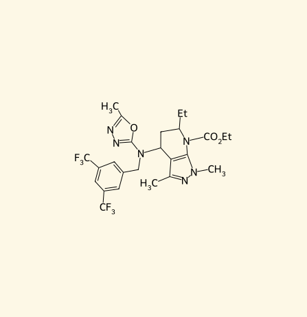 CCOC(=O)N1c2c(c(C)nn2C)C(N(Cc2cc(C(F)(F)F)cc(C(F)(F)F)c2)c2nnc(C)o2)CC1CC